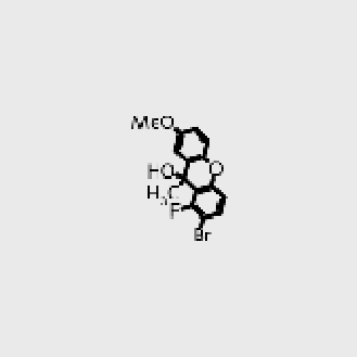 COc1ccc2c(c1)C(C)(O)c1c(ccc(Br)c1F)O2